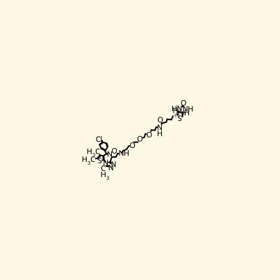 Cc1sc2c(c1C)C(c1ccc(Cl)cc1)=NC(CC(=O)NCCCOCCOCCOCCCNC(=O)CCCC[C@H]1SC[C@H]3NC(=O)N[C@H]31)c1nnc(C)n1-2